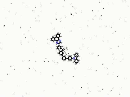 CC1(C)c2cc(-c3cccc(-c4ccc(-n5c6ccccc6c6ccccc65)cc4)c3)ccc2-c2ccc(-c3cnc4c5ccccc5c5ccccc5c4n3)cc21